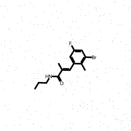 CCCNC(=O)/C(C)=C/c1cc(F)cc(Br)c1C